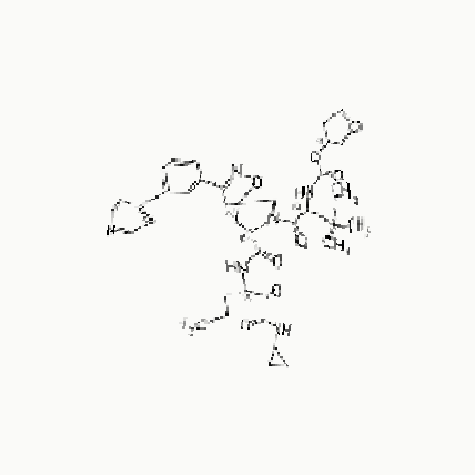 CCC[C@H](NC(=O)[C@@H]1C[C@]2(CC(c3cccc(-c4ccncc4)c3)=NO2)CN1C(=O)[C@@H](NC(=O)O[C@H]1CCOC1)C(C)(C)C)C(=O)C(=O)NC1CC1